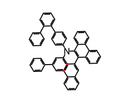 c1ccc(-c2cccc(N(c3ccc(-c4ccccc4-c4ccccc4)cc3)c3c(-c4ccc5ccccc5c4)c4ccccc4c4ccccc34)c2)cc1